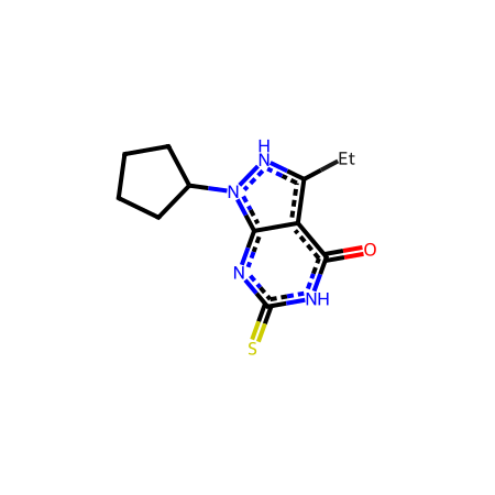 CCc1[nH]n(C2CCCC2)c2nc(=S)[nH]c(=O)c1-2